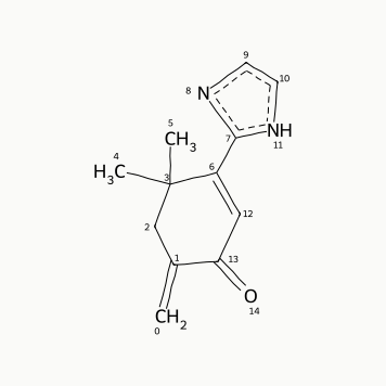 C=C1CC(C)(C)C(c2ncc[nH]2)=CC1=O